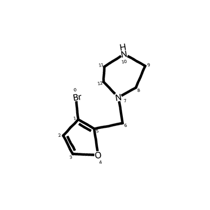 Brc1ccoc1CN1CCNCC1